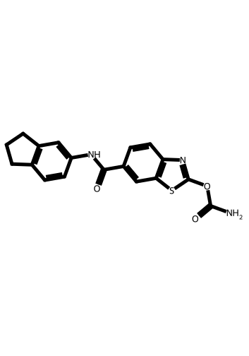 NC(=O)Oc1nc2ccc(C(=O)Nc3ccc4c(c3)CCC4)cc2s1